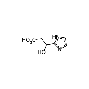 O=C(O)CC(O)c1ncc[nH]1